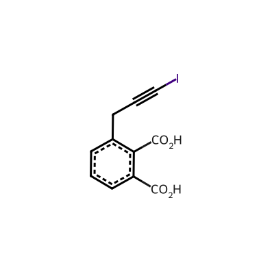 O=C(O)c1cccc(CC#CI)c1C(=O)O